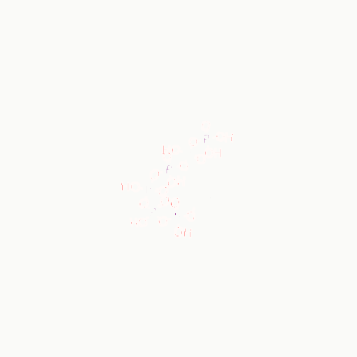 C=CCOP(=O)(O)OP(=O)(O)OP(=O)(O)OP(=O)(O)OP(=O)(O)OP(=O)(O)O